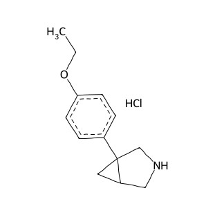 CCOc1ccc(C23CNCC2C3)cc1.Cl